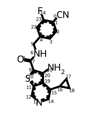 N#Cc1ccc(CNC(=O)c2sc3cncc(C4CC4)c3c2N)cc1F